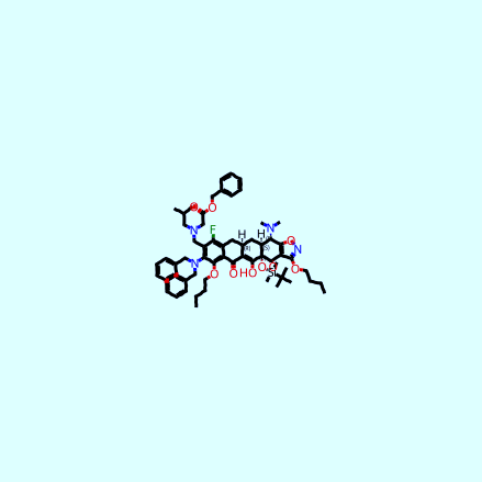 CCCCOc1noc2c1C(=O)[C@@]1(O[Si](C)(C)C(C)(C)C)C(O)=C3C(=O)c4c(c(F)c(CN(CC(=O)OCc5ccccc5)CC(C)C)c(N(Cc5ccccc5)Cc5ccccc5)c4OCCCC)C[C@H]3C[C@H]1[C@@H]2N(C)C